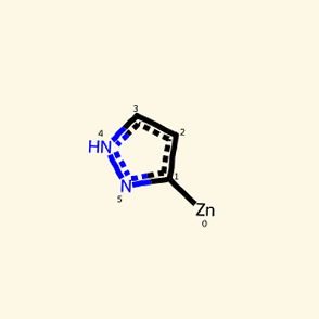 [Zn][c]1cc[nH]n1